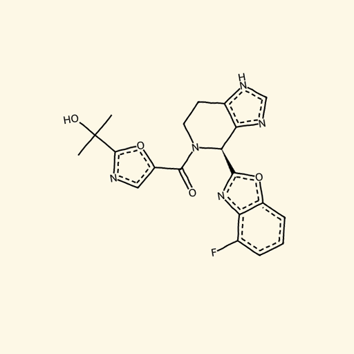 CC(C)(O)c1ncc(C(=O)N2CCc3[nH]cnc3[C@H]2c2nc3c(F)cccc3o2)o1